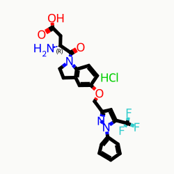 Cl.N[C@H](CC(=O)O)C(=O)N1CCc2cc(OCc3cc(C(F)(F)F)n(-c4ccccc4)n3)ccc21